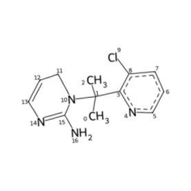 CC(C)(c1ncccc1Cl)N1CC=CN=C1N